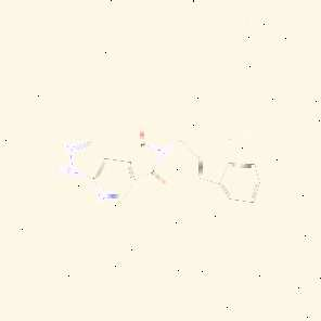 O=C1c2cnc3[nH]ncc3c2C(=O)N1CC1=Cc2ccccc2S1(O)O